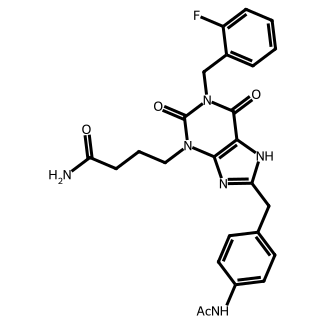 CC(=O)Nc1ccc(Cc2nc3c([nH]2)c(=O)n(Cc2ccccc2F)c(=O)n3CCCC(N)=O)cc1